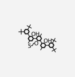 CSCCOc1c(-c2cc(C)cc(-c3cc(C(C)(C)C)cc(C(C)(C)C)c3)c2O)cc(C)cc1-c1cc(C)cc(-c2cc(C(C)(C)C)cc(C(C)(C)C)c2)c1O